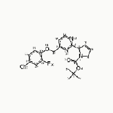 CC(C)(C)OC(=O)N1CC=CC1c1nccc(COc2ccc(Cl)cc2F)n1